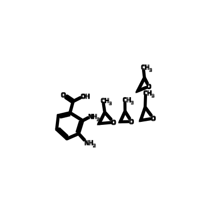 CC1CO1.CC1CO1.CC1CO1.CC1CO1.Nc1cccc(C(=O)O)c1N